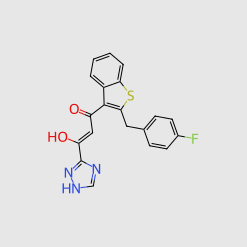 O=C(C=C(O)c1nc[nH]n1)c1c(Cc2ccc(F)cc2)sc2ccccc12